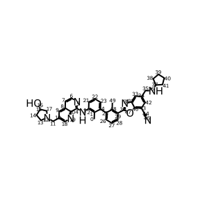 Cc1c(Nc2nccc3cc(CN4CC[C@@H](O)C4)cnc23)cccc1-c1cccc(-c2nc3cc(CNC4CCCC4)cc(C#N)c3o2)c1C